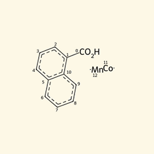 O=C(O)c1cccc2ccccc12.[Co].[Mn]